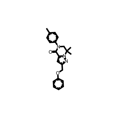 Cc1ccc(N2CC(C)(C)n3nc(COc4ccccc4)cc3C2=O)cc1